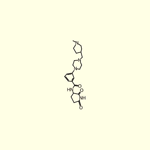 CN1CCC(CN2CCN(c3cccc(C(=O)NC4CCC(=O)NC4=O)c3)CC2)CC1